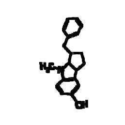 CN1c2ccc(O)cc2C2CCC(Cc3ccccc3)C21